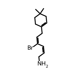 CC1(C)CC=C(C/C=C(Br)\C=C/CN)CC1